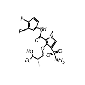 CCC(O)[C@@H](C)COc1c(S(N)(=O)=O)cn(C)c1C(=O)Nc1ccc(F)c(F)c1